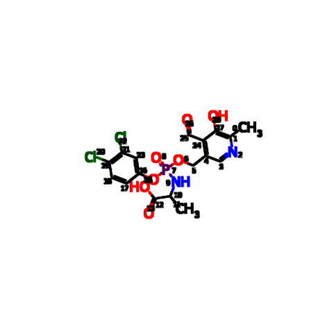 Cc1ncc(COP(=O)(NC(C)C(=O)O)Oc2ccc(Cl)c(Cl)c2)c(C=O)c1O